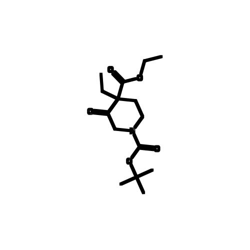 CCOC(=O)C1(CC)CCN(C(=O)OC(C)(C)C)CC1=O